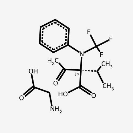 CC(=O)[C@@](C(=O)O)(C(C)C)N(c1ccccc1)C(F)(F)F.NCC(=O)O